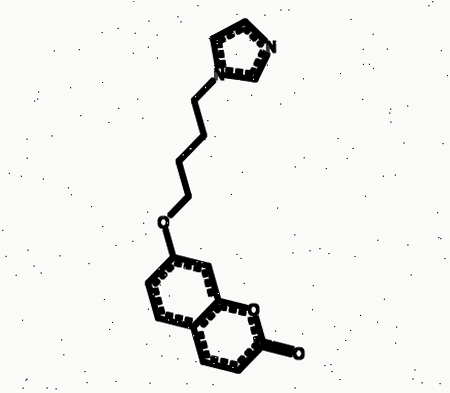 O=c1ccc2ccc(OCCCCn3ccnc3)cc2o1